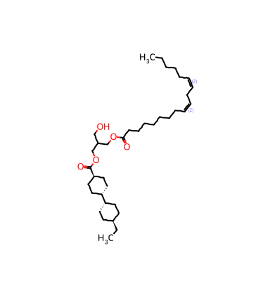 CCCCC/C=C\C/C=C\CCCCCCCC(=O)OCC(CO)COC(=O)[C@H]1CC[C@H]([C@H]2CC[C@H](CC)CC2)CC1